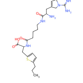 CCCc1ccc(CC(NC(=O)CCCCNC(=O)C(N)CC2=CCN(C(=N)N)C2)C(=O)O)s1